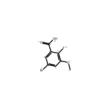 COc1cc(Br)cc(C(=O)O)c1F